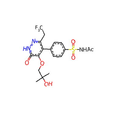 CC(=O)NS(=O)(=O)c1ccc(-c2c(CC(F)(F)F)n[nH]c(=O)c2OCC(C)(C)O)cc1